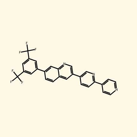 FC(F)(F)c1cc(-c2ccc3cc(-c4ccc(-c5ccncc5)nc4)cnc3c2)cc(C(F)(F)F)c1